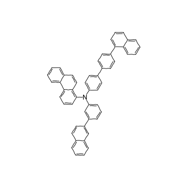 c1cc(-c2ccc3ccccc3c2)cc(N(c2ccc(-c3ccc(-c4cccc5ccccc45)cc3)cc2)c2cccc3c2ccc2ccccc23)c1